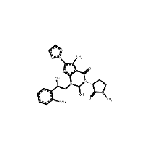 COc1ccccc1[C@@H](O)CN1c2sc(-n3nccn3)c(C)c2C(=O)N([C@@H]2CCN(C)C2=O)C1O